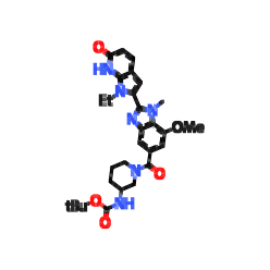 CCn1c(-c2nc3cc(C(=O)N4CCCC(NC(=O)OC(C)(C)C)C4)cc(OC)c3n2C)cc2ccc(=O)[nH]c21